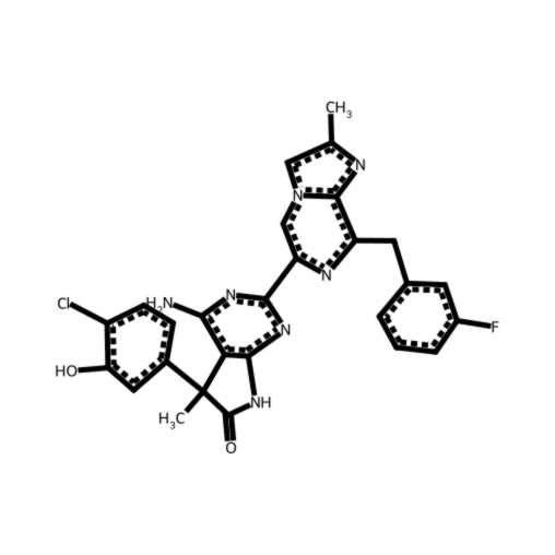 Cc1cn2cc(-c3nc(N)c4c(n3)NC(=O)C4(C)c3ccc(Cl)c(O)c3)nc(Cc3cccc(F)c3)c2n1